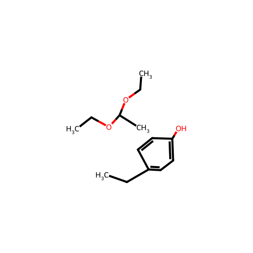 CCOC(C)OCC.CCc1ccc(O)cc1